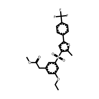 CCOc1cc(CC(=O)OC)cc(S(=O)(=O)c2cc(-c3ccc(C(F)(F)F)cc3)sc2C)c1